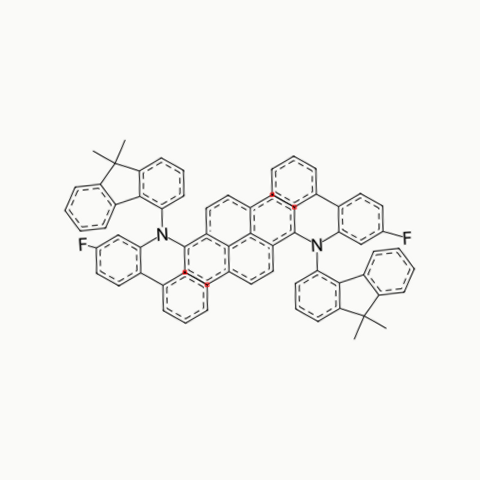 CC1(C)c2ccccc2-c2c(N(c3cc(F)ccc3-c3ccccc3)c3ccc4ccc5c(N(c6cc(F)ccc6-c6ccccc6)c6cccc7c6-c6ccccc6C7(C)C)ccc6ccc3c4c65)cccc21